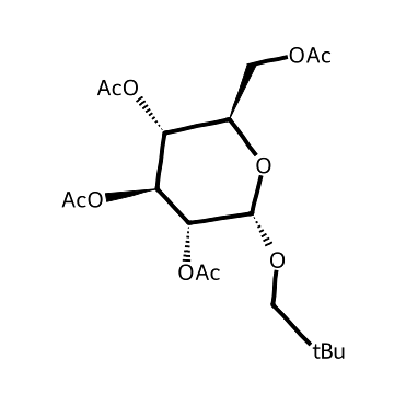 CC(=O)OC[C@H]1O[C@H](OCC(C)(C)C)[C@H](OC(C)=O)[C@@H](OC(C)=O)[C@@H]1OC(C)=O